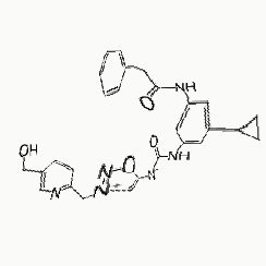 O=C(Cc1ccccc1)Nc1cc(NC(=O)[N-]c2c[n+](Cc3ccc(CO)cn3)no2)cc(C2CC2)c1